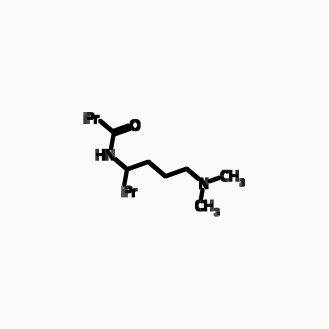 CC(C)C(=O)NC(CCCN(C)C)C(C)C